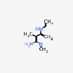 C=N/C(N)=C(/C)C(=C)NCC